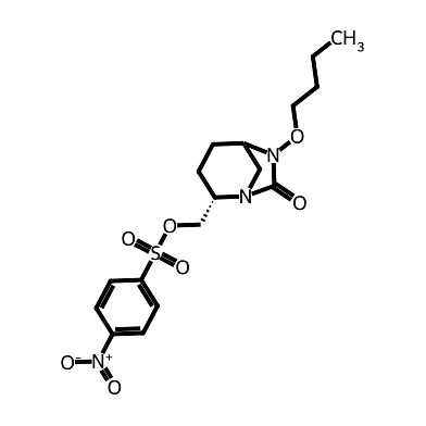 CCCCON1C(=O)N2CC1CC[C@H]2COS(=O)(=O)c1ccc([N+](=O)[O-])cc1